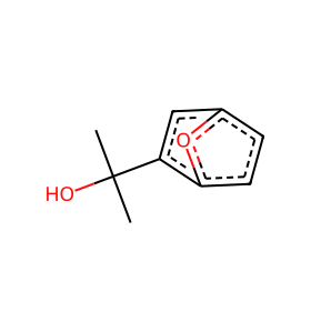 CC(C)(O)c1cc2ccc1o2